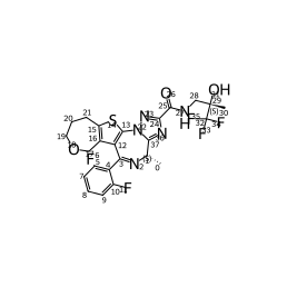 C[C@@H]1N=C(c2c(F)cccc2F)c2c(sc3c2COCCC3)-n2nc(C(=O)NC[C@](C)(O)C(F)(F)F)nc21